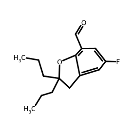 CCCC1(CCC)Cc2cc(F)cc(C=O)c2O1